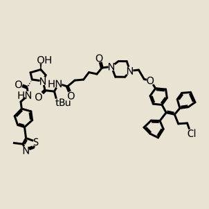 Cc1ncsc1-c1ccc(CNC(=O)[C@@H]2C[C@@H](O)CN2C(=O)C(NC(=O)CCCCC(=O)N2CCN(CCOc3ccc(/C(=C(/CCCl)c4ccccc4)c4ccccc4)cc3)CC2)C(C)(C)C)cc1